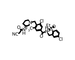 CCS(=O)(=O)c1ccc(Cl)cc1CNC(=O)c1cc(Cl)c(CN2CCC[C@H](NC(=O)CC#N)C2)c(C(F)(F)F)c1